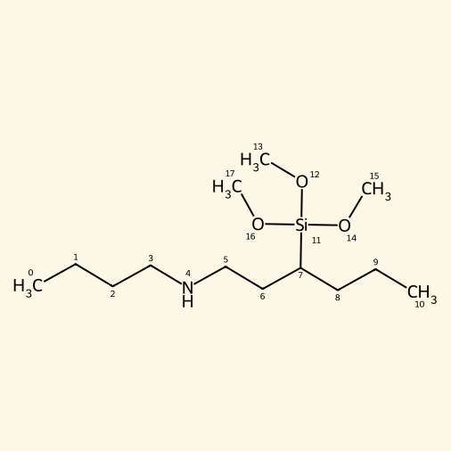 CCCCNCCC(CCC)[Si](OC)(OC)OC